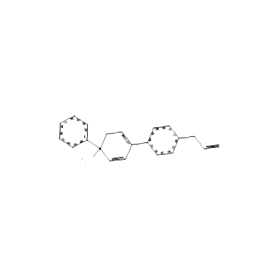 C=CCc1ccc(C2=CCC(C#N)(c3ccccc3)C=C2)cc1